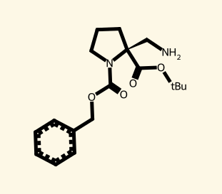 CC(C)(C)OC(=O)[C@@]1(CN)CCCN1C(=O)OCc1ccccc1